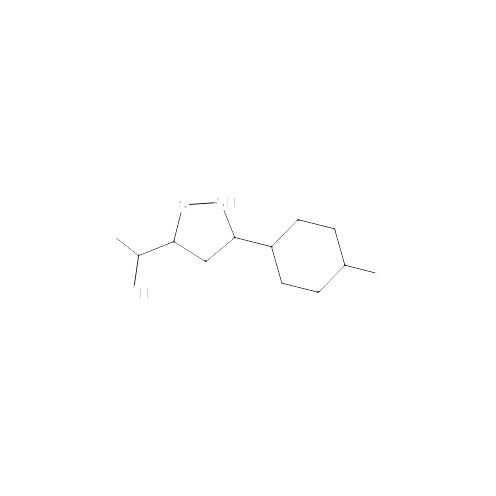 CC1CCC(C2CC(C(O)O)NN2)CC1